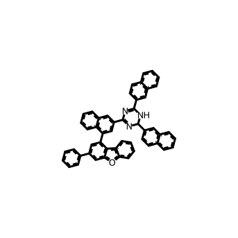 c1ccc(-c2cc(-c3cc(C4=NC(c5ccc6ccccc6c5)NC(c5ccc6ccccc6c5)=N4)cc4ccccc34)c3c(c2)oc2ccccc23)cc1